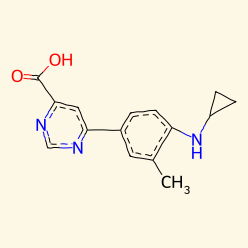 Cc1cc(-c2cc(C(=O)O)ncn2)ccc1NC1CC1